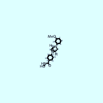 COc1cccc(N2C[C@@H]3C[C@H]2CN3c2ccc(C(=O)NO)cc2)c1